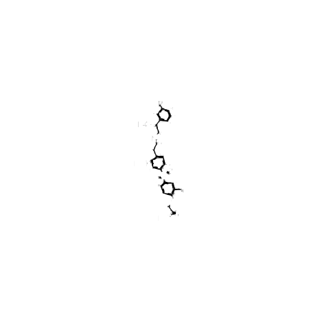 Cl.O=C(O)COc1ccc(S(=O)(=O)c2ccc(CCNC[C@H](O)c3cccc(Cl)c3)cc2)cc1Cl